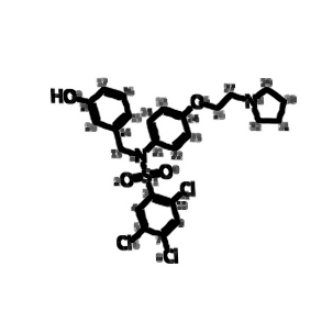 O=S(=O)(c1cc(Cl)c(Cl)cc1Cl)N(Cc1cccc(O)c1)c1ccc(OCCN2CCCC2)cc1